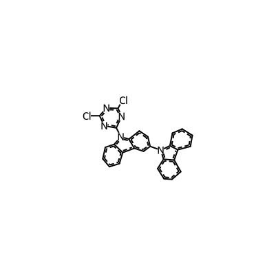 Clc1nc(Cl)nc(-n2c3ccccc3c3cc(-n4c5ccccc5c5ccccc54)ccc32)n1